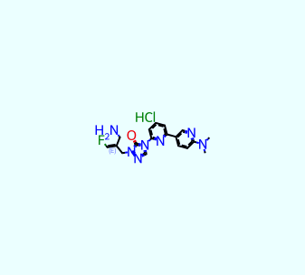 CN(C)c1ccc(-c2cccc(-n3cnn(C/C(=C/F)CN)c3=O)n2)cn1.Cl